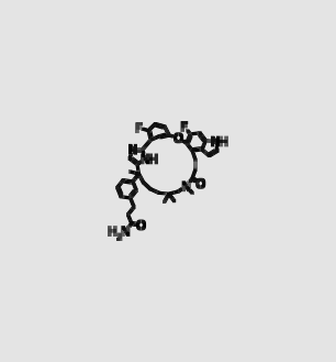 CN1CC(C)(C)CCCC(C)(c2cccc(CCC(N)=O)c2)c2cnc([nH]2)-c2cc(ccc2F)Oc2c(F)cc3[nH]ccc3c2CCC1=O